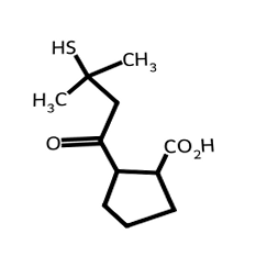 CC(C)(S)CC(=O)C1CCCC1C(=O)O